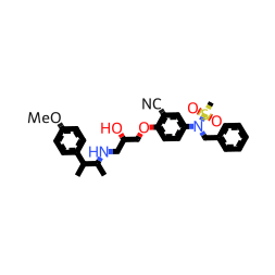 COc1ccc(C(C)C(C)NCC(O)COc2ccc(N(Cc3ccccc3)S(C)(=O)=O)cc2C#N)cc1